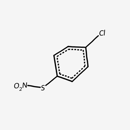 O=[N+]([O-])Sc1ccc(Cl)cc1